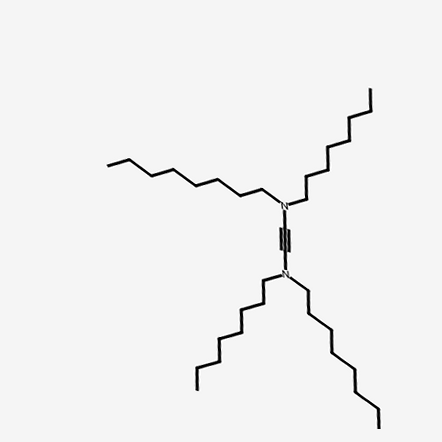 CCCCCCCCN(C#CN(CCCCCCCC)CCCCCCCC)CCCCCCCC